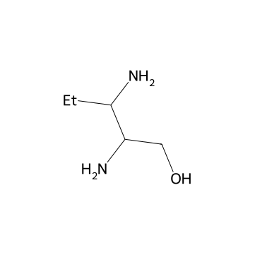 CCC(N)C(N)CO